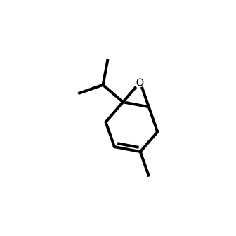 CC1=CCC2(C(C)C)OC2C1